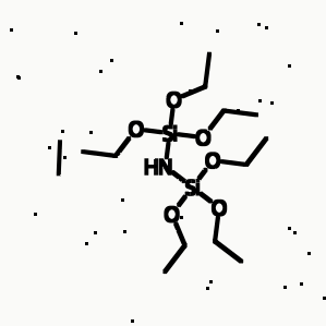 CC.CCO[Si](N[Si](OCC)(OCC)OCC)(OCC)OCC